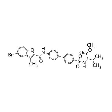 COC(=O)C(NS(=O)(=O)c1ccc(-c2ccc(NC(=O)c3oc4ccc(Br)cc4c3C)cc2)cc1)C(C)C